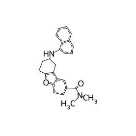 CN(C)C(=O)c1ccc2oc3c(c2c1)CC(Nc1cccc2ccccc12)CC3